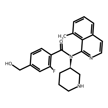 Cc1cccc2ccnc(N(C(=O)c3ccc(CO)cc3F)[C@@H]3CCCNC3)c12